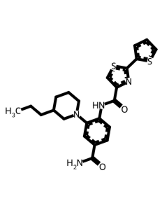 CCCC1CCCN(c2cc(C(N)=O)ccc2NC(=O)c2csc(-c3cccs3)n2)C1